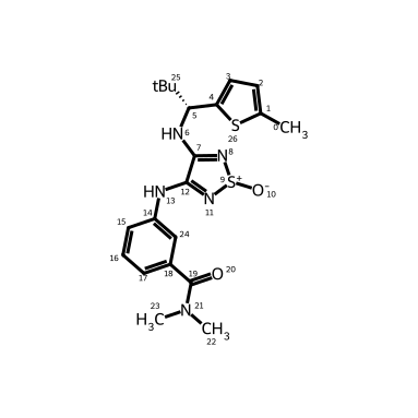 Cc1ccc([C@H](Nc2n[s+]([O-])nc2Nc2cccc(C(=O)N(C)C)c2)C(C)(C)C)s1